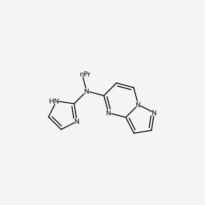 CCCN(c1ccn2nccc2n1)c1ncc[nH]1